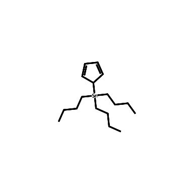 CCC[CH2][Sn]([CH2]CCC)([CH2]CCC)[CH]1C=CC=C1